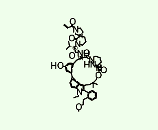 C=CC(=O)N1CC[C@]2(CCCN([C@H](C(=O)N[C@H]3Cc4cc(O)cc(c4)-c4ccc5c(c4)c(c(-c4ccccc4CCOC)n5CC)CC(C)(C)COC(=O)[C@@H]4CCCN(N4)C3=O)C(C)C)C2=O)C1